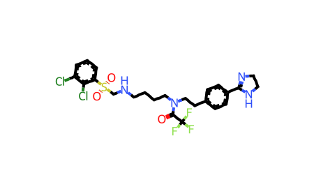 O=C(N(CCCCNCS(=O)(=O)c1cccc(Cl)c1Cl)CCc1ccc(C2=NCCN2)cc1)C(F)(F)F